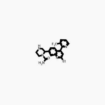 CCc1cc(-c2ncccc2C(F)(F)F)c2ccc(C3CNCCN3C(N)=O)cc2n1